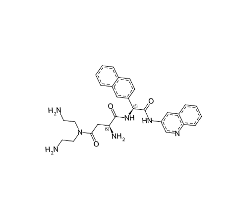 NCCN(CCN)C(=O)C[C@H](N)C(=O)N[C@H](C(=O)Nc1cnc2ccccc2c1)c1ccc2ccccc2c1